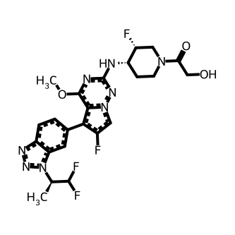 COc1nc(N[C@H]2CCN(C(=O)CO)C[C@H]2F)nn2cc(F)c(-c3ccc4nnn([C@H](C)C(F)F)c4c3)c12